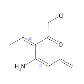 C=C/C=C(N)\C(=C/C)C(=O)CCl